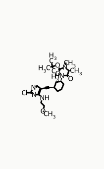 COCCNc1nc(Cl)ncc1C#C[C@@H]1CCC[C@H](NC(=O)[C@H](C)N(C)C(=O)OC(C)(C)C)C1